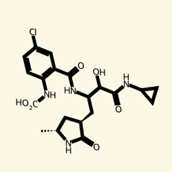 C[C@@H]1C[C@@H](CC(NC(=O)c2cc(Cl)ccc2NC(=O)O)C(O)C(=O)NC2CC2)C(=O)N1